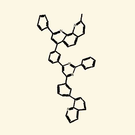 Cc1ccc2ccc3c(-c4cccc(-c5cc(-c6cccc(-c7cccc8cccnc78)c6)nc(-c6ccccc6)n5)c4)cc(-c4ccccc4)nc3c2n1